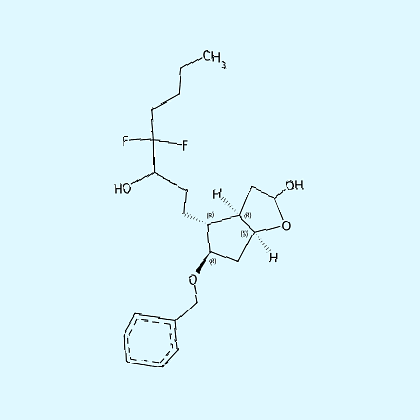 CCCCC(F)(F)C(O)CC[C@@H]1[C@H]2CC(O)O[C@H]2C[C@H]1OCc1ccccc1